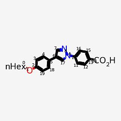 CCCCCCOc1ccc(-c2cnn(-c3ccc(C(=O)O)cc3)c2)cc1